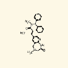 CN1CC(=O)Nc2ncc(/C=C/C(=O)N(C)C(c3ccccc3)c3ccccc3)cc2C1.Cl